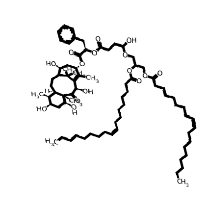 CCCCCCCC/C=C\CCCCCCCC(=O)OCC(COC(O)CCC(=O)O[C@H](Cc1ccccc1)C(=O)O[C@H]1C[C@H](O)C2CC[C@@H]3[C@H](C)[C@H](O)C[C@H](O)[C@@]3(C)C(=O)[C@H](O)C(=C1C)C2(C)C)OC(=O)CCCCCCC/C=C\CCCCCCCC